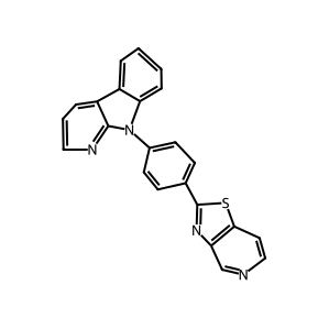 c1ccc2c(c1)c1cccnc1n2-c1ccc(-c2nc3cnccc3s2)cc1